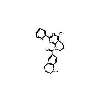 CN1CCCc2cc(C(=O)N3CCCc4c(O)nc(-c5ccccn5)nc43)ccc21